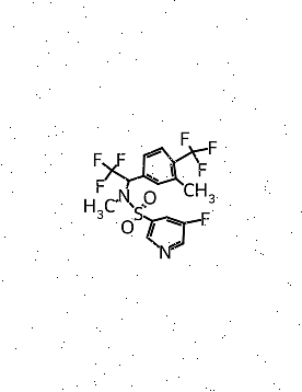 Cc1cc(C(N(C)S(=O)(=O)c2cncc(F)c2)C(F)(F)F)ccc1C(F)(F)F